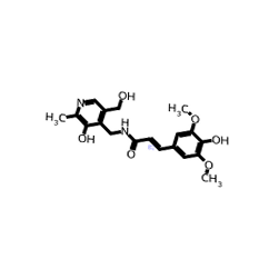 COc1cc(/C=C/C(=O)NCc2c(CO)cnc(C)c2O)cc(OC)c1O